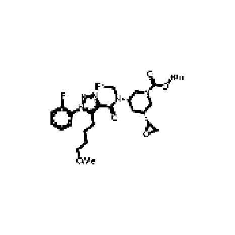 COCCCCc1c(C(=O)N(CC(C)C)[C@H]2C[C@@H](C3CO3)CN(C(=O)OC(C)(C)C)C2)nnn1-c1ccccc1F